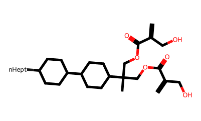 C=C(CO)C(=O)OCC(C)(COC(=O)C(=C)CO)C1CCC(C2CCC(CCCCCCC)CC2)CC1